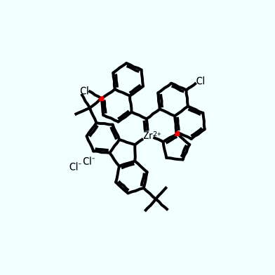 CC(C)(C)c1ccc2c(c1)[CH]([Zr+2]([C]1=CC=CC1)=[C](c1ccc(Cl)c3ccccc13)c1ccc(Cl)c3ccccc13)c1cc(C(C)(C)C)ccc1-2.[Cl-].[Cl-]